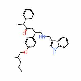 CCCC(C)COc1ccc([C@H](CNCc2c[nH]c3ccccc23)CC(=O)[C@@H](C)c2ccccc2)cc1